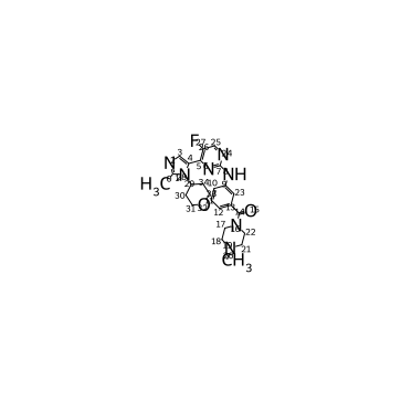 Cc1ncc(-c2nc(Nc3cccc(C(=O)N4CCN(C)CC4)c3)ncc2F)n1C1CCOCC1